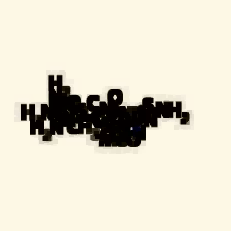 CO/N=C(\C(=O)NC1C(=O)N2C(C(=O)O)=C(CSC3=NC(N)=C(N)C(N)N3C)CS[C@@H]12)c1csc(N)n1